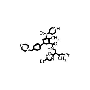 CCC(/C=N\C(=O)C(CNC(=O)c1cc(-c2ccc(CN3CCOCC3)cc2)cc(N(CC)C2CCNCC2)c1C)C(C)CC(C)C)CC